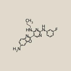 CCCNc1nc(Nc2cccc(F)c2)ncc1-c1nc2ccc(N)cc2o1